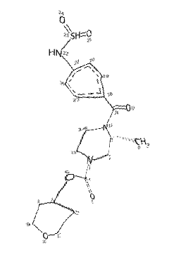 C[C@@H]1CN(C(=O)OC2CCOCC2)CCN1C(=O)c1ccc(N[SH](=O)=O)cc1